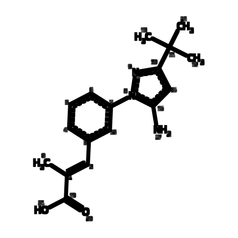 C/C(=C\c1cccc(-n2nc(C(C)(C)C)cc2N)c1)C(=O)O